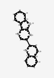 c1ccc2nc(-c3cnc4c(n3)oc3ccccc34)ccc2c1